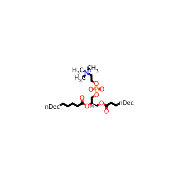 CCCCCCCCCCCCCCC(=O)O[C@H](COC(=O)CCCCCCCCCCCC)COP(=O)([O-])OCC[N+](C)(C)C